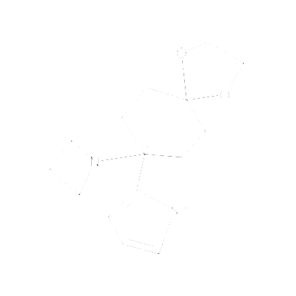 c1csc(C2(N3CCC3)CCC3(CC2)OCCO3)c1